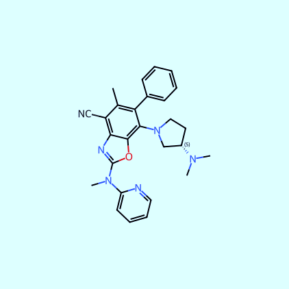 Cc1c(-c2ccccc2)c(N2CC[C@H](N(C)C)C2)c2oc(N(C)c3ccccn3)nc2c1C#N